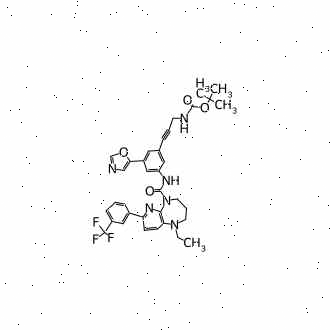 CCN1CCCN(C(=O)Nc2cc(C#CCNC(=O)OC(C)(C)C)cc(-c3cnco3)c2)c2nc(-c3cccc(C(F)(F)F)c3)ccc21